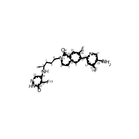 C[C@@H](CCCn1ccc2cc(-c3cc(F)c(N)cn3)c(F)cc2c1=O)Nc1cn[nH]c(=O)c1F